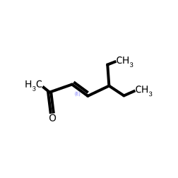 CCC(/C=C/C(C)=O)CC